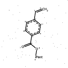 C=Cc1ccc(C(=O)OC(C)CCC)cc1